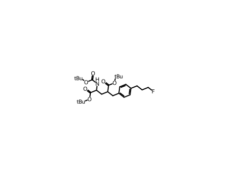 CC(C)(C)OC(=O)NC(CC(Cc1ccc(CCCF)cc1)C(=O)OC(C)(C)C)C(=O)OC(C)(C)C